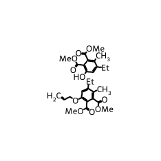 C=CCOc1cc(CC)c(C)c(C(=O)OC)c1C(=O)OC.CCc1cc(O)c(C(=O)OC)c(C(=O)OC)c1C